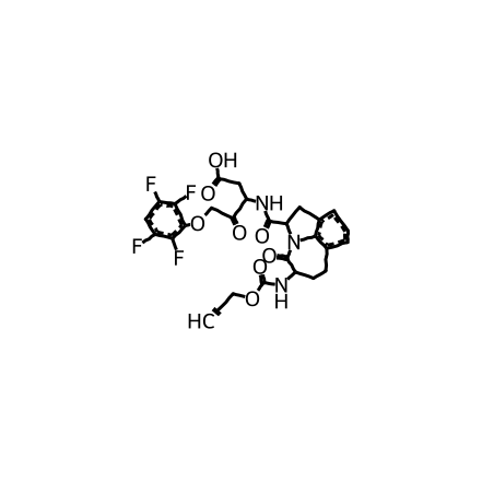 C#CCOC(=O)NC1CCc2cccc3c2N(C1=O)C(C(=O)NC(CC(=O)O)C(=O)COc1c(F)c(F)cc(F)c1F)C3